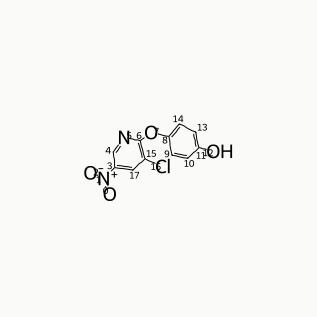 O=[N+]([O-])c1cnc(Oc2ccc(O)cc2)c(Cl)c1